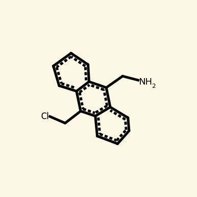 NCc1c2ccccc2c(CCl)c2ccccc12